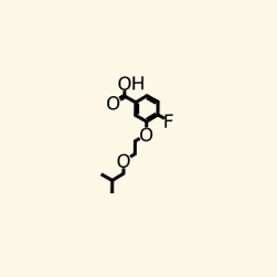 CC(C)COCCOc1cc(C(=O)O)ccc1F